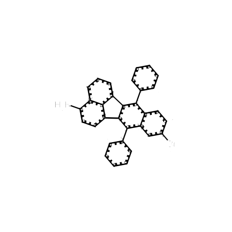 Bc1ccc2c3c(cccc13)-c1c-2c(-c2ccccc2)c2cc(Br)ccc2c1-c1ccccc1